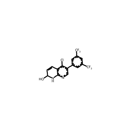 OC1C=Cc2c(ncc(-c3cc(C(F)(F)F)cc(C(F)(F)F)c3)c2Cl)N1